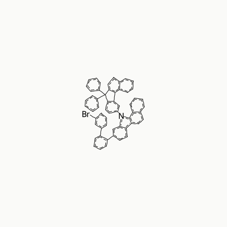 Brc1cccc(-c2ccccc2-c2ccc3c4ccc5ccccc5c4n(-c4ccc5c(c4)-c4c(ccc6ccccc46)C5(c4ccccc4)c4ccccc4)c3c2)c1